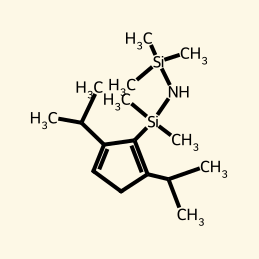 CC(C)C1=CCC(C(C)C)=C1[Si](C)(C)N[Si](C)(C)C